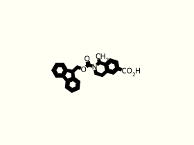 CC1c2ccc(C(=O)O)cc2CCN1C(=O)OCC1c2ccccc2-c2ccccc21